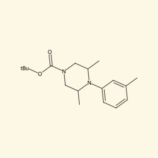 Cc1cccc(N2C(C)CN(C(=O)OC(C)(C)C)CC2C)c1